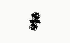 CN[C@@H](C)C(=O)N[C@H](C(=O)N1C[C@@H](F)C[C@H]1Cc1c(-c2nc3cc(F)ccc3n2C[C@@H]2C[C@H](F)CN2C(=O)[C@@H](NC(=O)[C@H](C)NC)C2CCCCC2)[nH]c2cc(F)ccc12)C1CC1